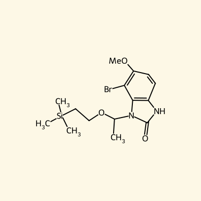 COc1ccc2[nH]c(=O)n(C(C)OCC[Si](C)(C)C)c2c1Br